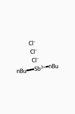 CCC[CH2][Sb+3][CH2]CCC.[Cl-].[Cl-].[Cl-]